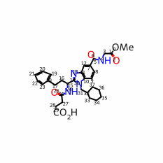 COC(=O)CNC(=O)c1ccc2c(c1)nc(C(CCc1ccccc1)NC(=O)CCC(=O)O)n2CC1CCCCC1